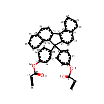 C=CC(=O)Oc1ccc(C2(c3ccc(OC(=O)C=C)cc3)c3ccc4ccccc4c3-c3ccc4ccccc4c32)cc1